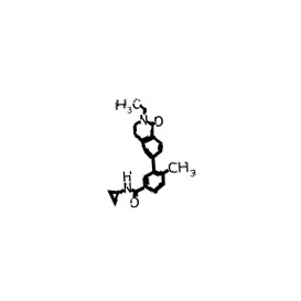 CCN1CCc2cc(-c3cc(C(=O)NC4CC4)ccc3C)ccc2C1=O